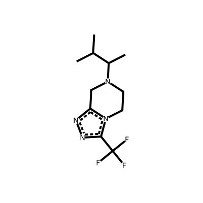 CC(C)C(C)N1CCn2c(nnc2C(F)(F)F)C1